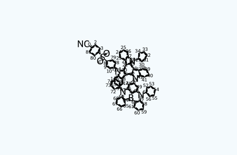 N#Cc1ccc(S(=O)(=O)c2ccc(-n3c4ccccc4c4c3c3c5ccccc5n(-c5ccccc5)c3c3c5ccccc5n(-c5cc6c7c(c5)N(c5ccccc5)c5ccccc5B7c5ccccc5N6c5ccccc5)c34)cc2)cc1